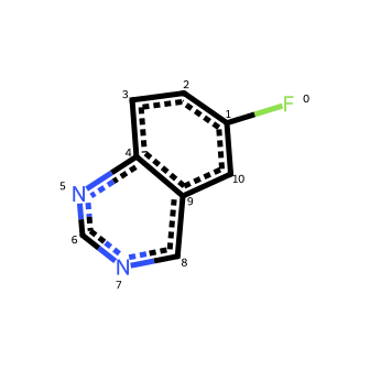 Fc1ccc2ncncc2c1